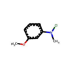 COc1cccc(N(C)Cl)c1